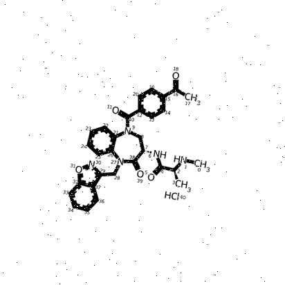 CN[C@@H](C)C(=O)N[C@H]1CN(C(=O)c2ccc(C(C)=O)cc2)c2ccccc2N(Cc2noc3ccccc23)C1=O.Cl